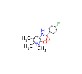 Cc1cc(NC(=O)c2ccc(F)cc2)c(=O)n(C)c1C